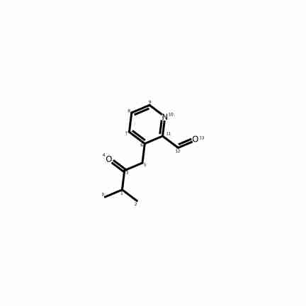 CC(C)C(=O)Cc1cccnc1C=O